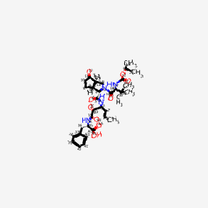 CCCC(NC(=O)[C@@H]1[C@H]2CCC(=O)[C@H]2CN1C(=O)[C@@H](NC(=O)OC(C)C)C(C)(C)C)C(=O)C(=O)N[C@@H](Cc1ccccc1)C(=O)O